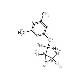 [2H]C([2H])(Oc1cc(C)cc(C)c1)C1([2H])OC1([2H])[2H]